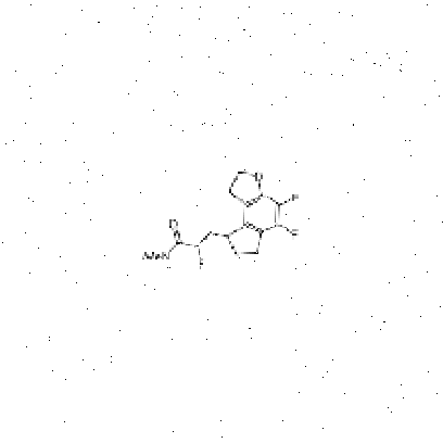 CNC(=O)C(F)CC1CCc2c(F)c(F)c3c(c21)CCO3